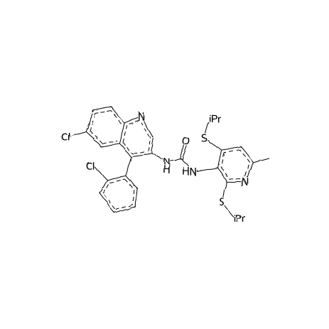 Cc1cc(SC(C)C)c(NC(=O)Nc2cnc3ccc(Cl)cc3c2-c2ccccc2Cl)c(SC(C)C)n1